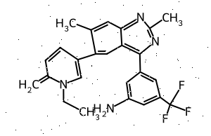 C=C1C=CC(c2cc3c(-c4cc(N)cc(C(F)(F)F)c4)nc(C)nc3cc2C)=CN1CC